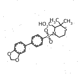 CC1(C)SCCN(S(=O)(=O)c2ccc(-c3ccc4c(c3)OCO4)cc2)C1C(=O)O